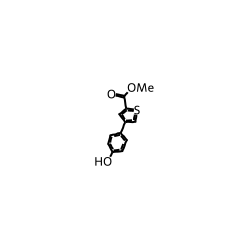 COC(=O)c1cc(-c2ccc(O)cc2)cs1